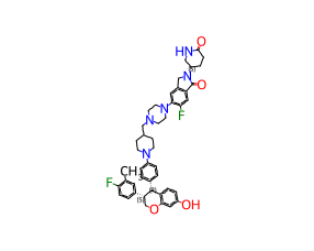 Cc1cc([C@H]2COc3cc(O)ccc3[C@H]2c2ccc(N3CCC(CN4CCN(c5cc6c(cc5F)C(=O)N([C@H]5CCC(=O)NC5)C6)CC4)CC3)cc2)ccc1F